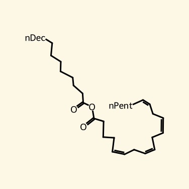 CCCCC/C=C\C/C=C\C/C=C\C/C=C\CCCC(=O)OC(=O)CCCCCCCCCCCCCCCCC